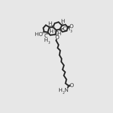 C[C@]12CCC(=O)C[C@@H]1CC[C@@H]1[C@@H]2[C@@H](OCCCCCCCCCCCCCC(N)=O)C[C@]2(C)[C@@H](O)CC[C@@H]12